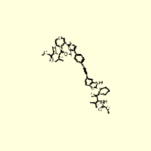 COC(=O)N[C@H](C(=O)N1CCOC[C@H]1c1ncc(-c2ccc(C#Cc3ccc4nc([C@@H]5CCCN5C(=O)[C@@H](NC(=O)OC)C(C)C)[nH]c4c3)cc2)[nH]1)C(C)C